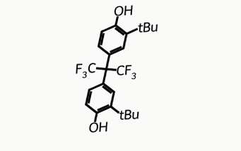 CC(C)(C)c1cc(C(c2ccc(O)c(C(C)(C)C)c2)(C(F)(F)F)C(F)(F)F)ccc1O